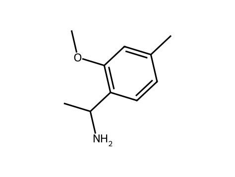 COc1cc(C)ccc1C(C)N